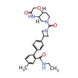 CCNC(=O)c1cc(C)ccc1-c1ccc(C2CN(C(=O)N3CC[C@@H]4OCC(=O)N[C@@H]4C3)C2)cc1